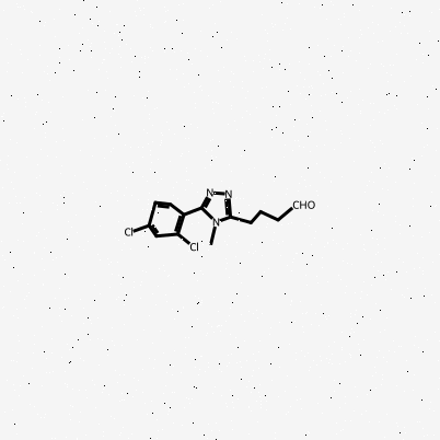 Cn1c(CCCC=O)nnc1-c1ccc(Cl)cc1Cl